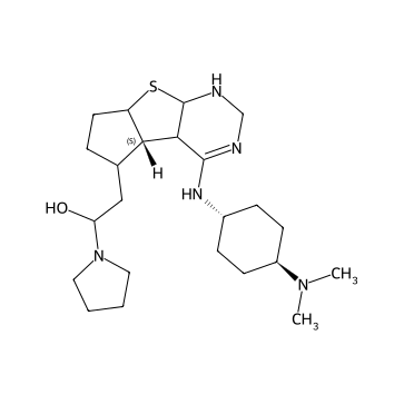 CN(C)[C@H]1CC[C@H](NC2=NCNC3SC4CCC(CC(O)N5CCCC5)[C@H]4C23)CC1